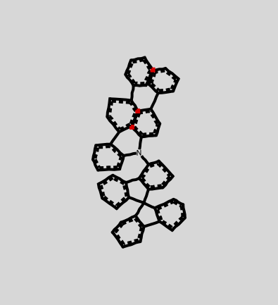 c1ccc(-c2ccc(-c3ccccc3N(c3ccc(-c4ccccc4)cc3)c3cccc4c3-c3ccccc3C43c4ccccc4-c4ccccc43)cc2)cc1